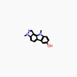 Cn1ncc2c1ccc1c3cc(O)ccc3n(C)c12